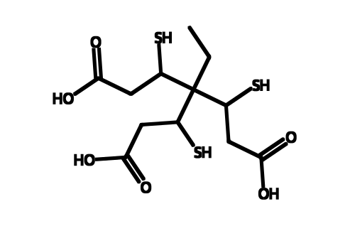 CCC(C(S)CC(=O)O)(C(S)CC(=O)O)C(S)CC(=O)O